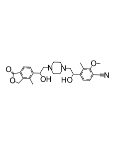 COc1c(C#N)ccc(C(O)CN2CCN(CC(O)c3ccc4c(c3C)COC4=O)CC2)c1C